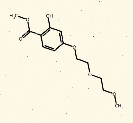 COCCOCCOc1ccc(C(=O)OC)c(O)c1